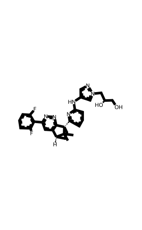 CC1(C)[C@H]2CC[C@]1(c1cccc(Nc3cnn(C[C@H](O)CO)c3)n1)c1nnc(-c3c(F)cccc3F)cc12